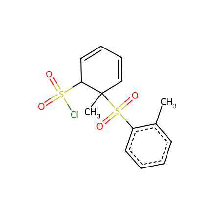 Cc1ccccc1S(=O)(=O)C1(C)C=CC=CC1S(=O)(=O)Cl